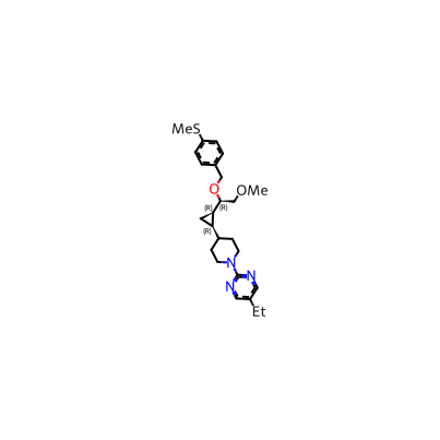 CCc1cnc(N2CCC([C@H]3C[C@H]3[C@H](COC)OCc3ccc(SC)cc3)CC2)nc1